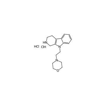 Cl.Cl.c1ccc2c(c1)c1c(n2CCN2CCOCC2)CNCC1